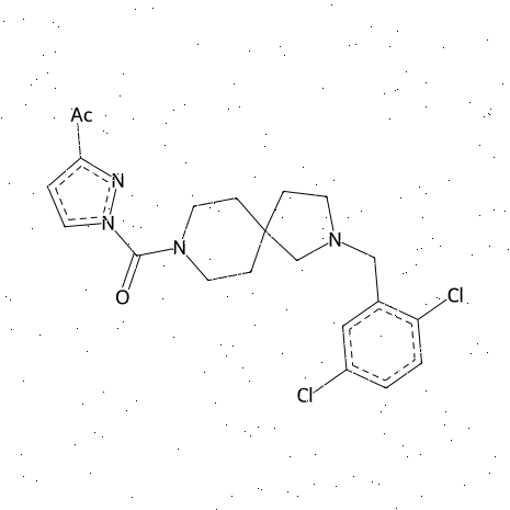 CC(=O)c1ccn(C(=O)N2CCC3(CCN(Cc4cc(Cl)ccc4Cl)C3)CC2)n1